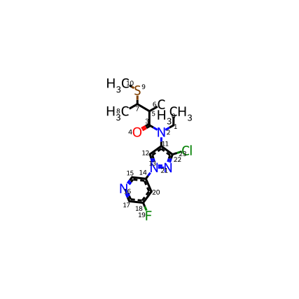 CCN(C(=O)C(C)C(C)SC)c1cn(-c2cncc(F)c2)nc1Cl